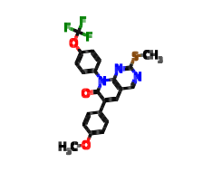 COc1ccc(-c2cc3cnc(SC)nc3n(-c3ccc(OC(F)(F)F)cc3)c2=O)cc1